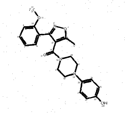 Cc1onc(-c2ccccc2OC(F)(F)F)c1C(=O)N1CCN(c2ccc(O)cc2)CC1